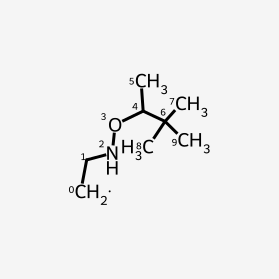 [CH2]CNOC(C)C(C)(C)C